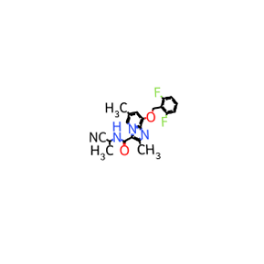 Cc1cc(OCc2c(F)cccc2F)c2nc(C)c(C(=O)NC(C)C#N)n2c1